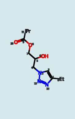 CCc1cn(CC(O)COC(=O)C(C)C)nn1